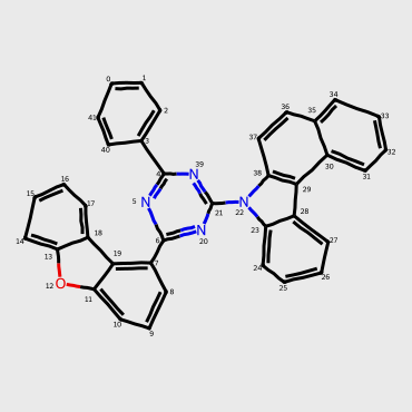 c1ccc(-c2nc(-c3cccc4oc5ccccc5c34)nc(-n3c4ccccc4c4c5ccccc5ccc43)n2)cc1